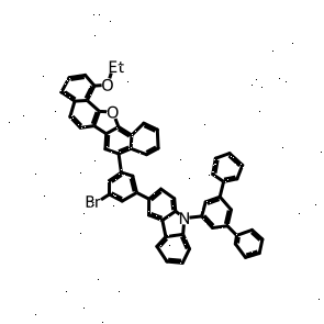 CCOc1cccc2ccc3c4cc(-c5cc(Br)cc(-c6ccc7c(c6)c6ccccc6n7-c6cc(-c7ccccc7)cc(-c7ccccc7)c6)c5)c5ccccc5c4oc3c12